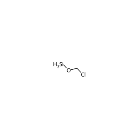 [SiH3]OCCl